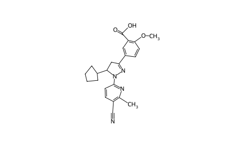 COc1ccc(C2=NN(c3ccc(C#N)c(C)n3)C(C3CCCC3)C2)cc1C(=O)O